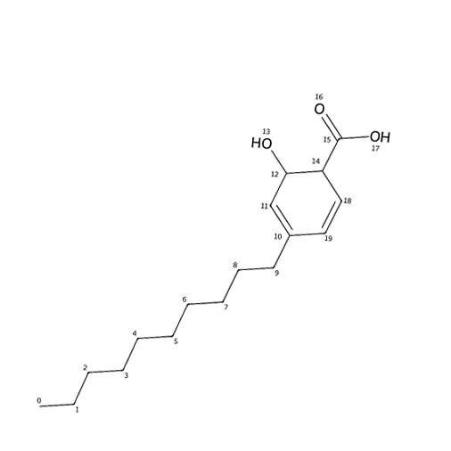 CCCCCCCCCCC1=CC(O)C(C(=O)O)C=C1